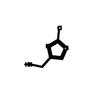 [NH]Cc1csc(Cl)n1